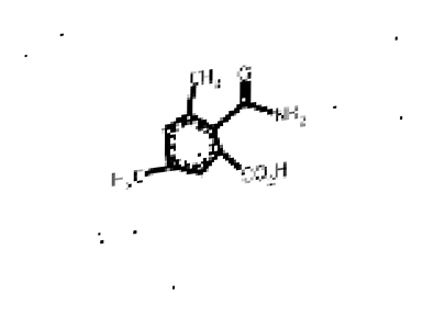 Cc1cc(C)c(C(N)=O)c(C(=O)O)c1